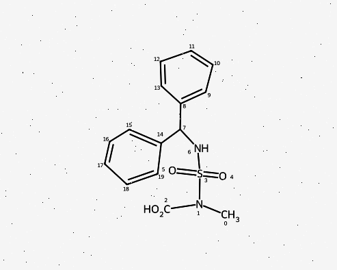 CN(C(=O)O)S(=O)(=O)NC(c1ccccc1)c1ccccc1